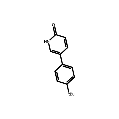 CC(C)(C)c1ccc(-c2ccc(=O)[nH]c2)cc1